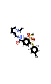 CCN1CCCC1CNC(=O)c1ccc(Sc2ccc(C)cc2)c(S(C)(=O)=O)c1